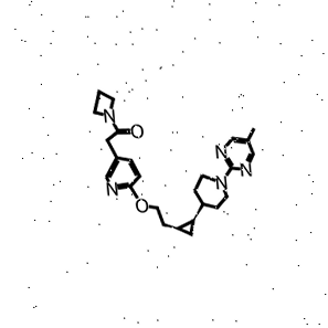 Cc1cnc(N2CCC([C@H]3C[C@H]3CCOc3ccc(CC(=O)N4CCC4)cn3)CC2)nc1